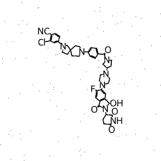 C[C@H]1CC2(CCN(c3ccc(C(=O)N4CC[C@@H](N5CCN(c6cc7c(cc6F)C(=O)N(C6CCC(=O)NC6=O)C7O)CC5)C4)cc3)CC2)CN1c1ccc(C#N)c(Cl)c1